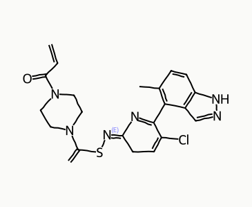 C=CC(=O)N1CCN(C(=C)S/N=C2\CC=C(Cl)C(c3c(C)ccc4[nH]ncc34)=N2)CC1